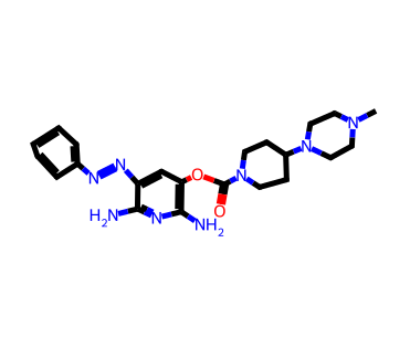 CN1CCN(C2CCN(C(=O)Oc3cc(/N=N/c4ccccc4)c(N)nc3N)CC2)CC1